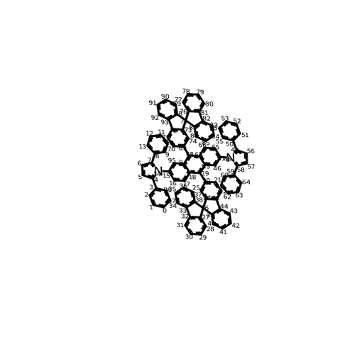 c1ccc(-c2ccc(-c3ccccc3)n2-c2ccc3c(-c4ccc5c(c4)C4(c6ccccc6-c6ccccc64)c4ccccc4-5)c4cc(-n5c(-c6ccccc6)ccc5-c5ccccc5)ccc4c(-c4ccc5c(c4)C4(c6ccccc6-c6ccccc64)c4ccccc4-5)c3c2)cc1